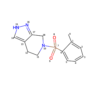 Cc1ccccc1S(=O)(=O)N1CCc2c[nH]nc2C1